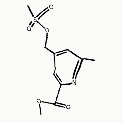 COC(=O)c1cc(COS(C)(=O)=O)cc(C)n1